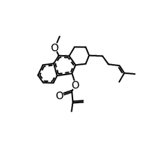 C=C(C)C(=O)Oc1c2c(c(OC)c3ccccc13)CCC(CCC=C(C)C)C2